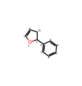 C1=COC(c2ccccc2)C1